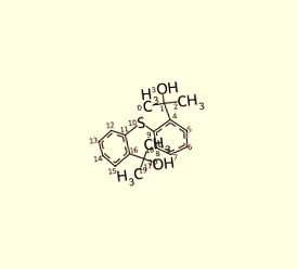 CC(C)(O)c1ccccc1Sc1ccccc1C(C)(C)O